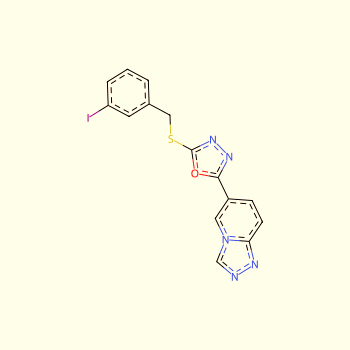 Ic1cccc(CSc2nnc(-c3ccc4nncn4c3)o2)c1